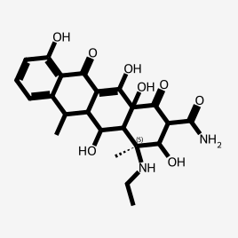 CCN[C@]1(C)C(O)C(C(N)=O)C(=O)C2(O)C(O)=C3C(=O)c4c(O)cccc4C(C)C3C(O)C21